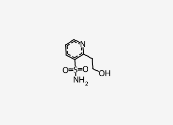 NS(=O)(=O)c1cccnc1CCO